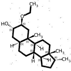 CCO[C@H]1C[C@@]2(C)[C@@H](CC[C@@H]3[C@@H]2CC[C@]2(C)[C@H](C)CC[C@@H]32)C[C@@H]1O